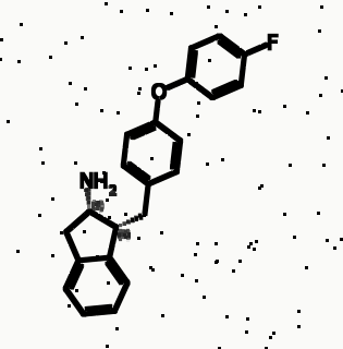 N[C@H]1Cc2ccccc2[C@H]1Cc1ccc(Oc2ccc(F)cc2)cc1